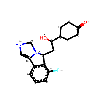 O=C1CCC(C(O)CC2c3c(F)cccc3C3=CNCN32)CC1